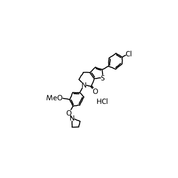 COc1cc(N2CCc3cc(-c4ccc(Cl)cc4)sc3C2=O)ccc1ON1CCC1.Cl